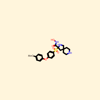 COc1ccc(Oc2ccc(S(=O)(=O)C3(C(=O)NO)CC4(CCNCC4)CN3)cc2)cc1